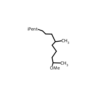 [CH2]CCC(C)CCCC(C)CCCC(C)OC